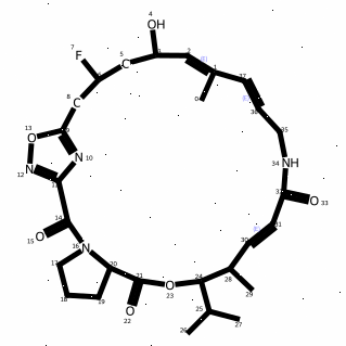 CC1=C\C(O)CC(F)Cc2nc(no2)C(=O)N2CCCC2C(=O)OC(C(C)C)C(C)/C=C/C(=O)NC\C=C\1